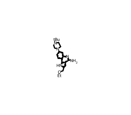 CCOCc1cc2c(N)nc3cc(N4CCN(C(C)(C)C)CC4)ccc3c2[nH]1